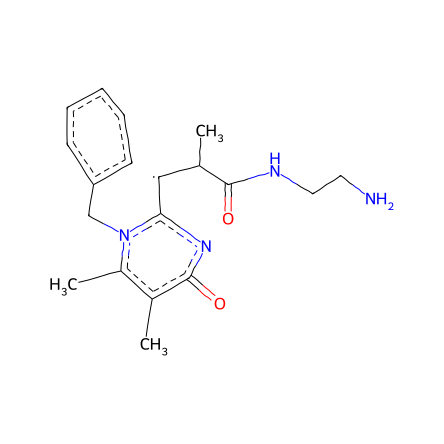 Cc1c(C)n(Cc2ccccc2)c([CH]C(C)C(=O)NCCN)nc1=O